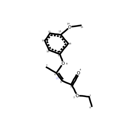 CCOC(=O)/C=C(/C)Oc1cccc(OC)c1